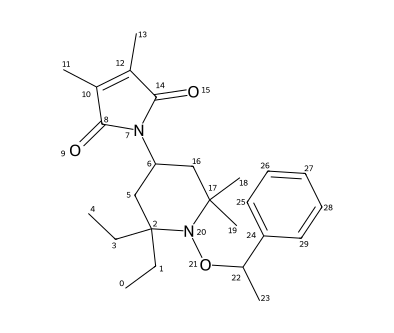 CCC1(CC)CC(N2C(=O)C(C)=C(C)C2=O)CC(C)(C)N1OC(C)c1ccccc1